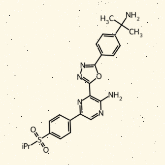 CC(C)S(=O)(=O)c1ccc(-c2cnc(N)c(-c3nnc(-c4ccc(C(C)(C)N)cc4)o3)n2)cc1